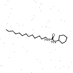 CCCCCCCCCCCCCNC(=O)NC1CCCCC1